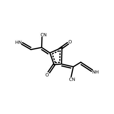 N#CC(C=N)=c1c(=O)c(=C(C#N)C=N)c1=O